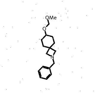 COCOC1CCC2(CC1)CN(Cc1ccccc1)C2